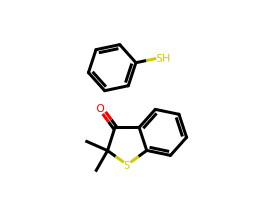 CC1(C)Sc2ccccc2C1=O.Sc1ccccc1